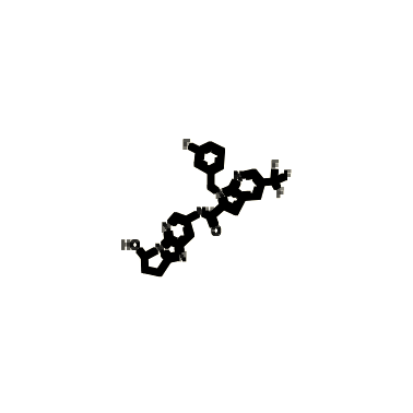 O=C(Nc1cnc2c(c1)nc1n2C(O)CC1)c1cc2cc(C(F)(F)F)cnc2n1Cc1cccc(F)c1